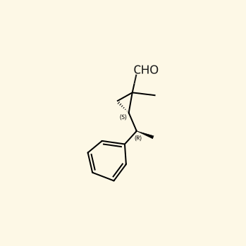 C[C@@H](c1ccccc1)[C@@H]1CC1(C)C=O